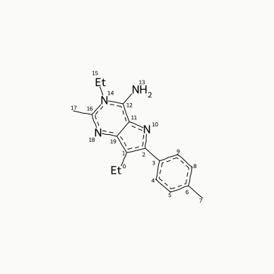 CCc1c(-c2ccc(C)cc2)nc2c(N)n(CC)c(C)nc1-2